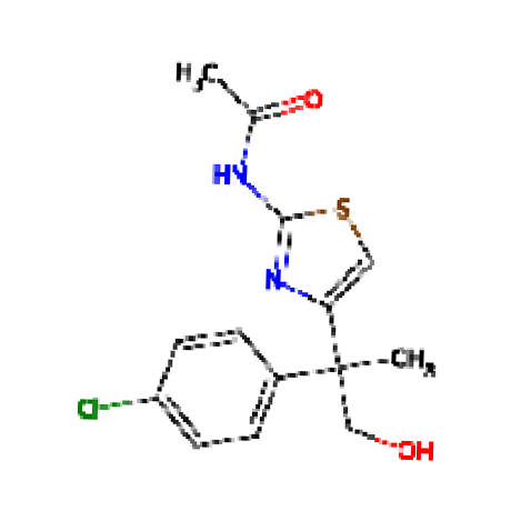 CC(=O)Nc1nc(C(C)(CO)c2ccc(Cl)cc2)cs1